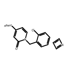 C1=CN=C1.CCCCCc1ccn(Cc2ccccc2Cl)c(=O)c1